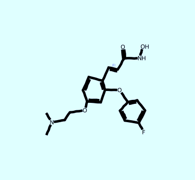 CN(C)CCOc1ccc(/C=C/C(=O)NO)c(Oc2ccc(F)cc2)c1